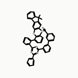 CC1(C)c2ccccc2-c2cc3c(cc21)Oc1cccc(-c2ccccc2-c2nc(-c4ccccc4)nc(-c4cccc(-c5cccc(C#N)c5)c4)n2)c1O3